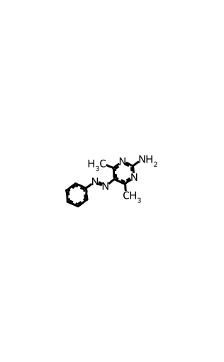 Cc1nc(N)nc(C)c1N=Nc1ccccc1